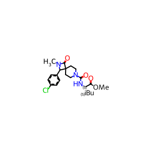 CC[C@H](C)[C@H](NC(=O)N1CCC2(CC1)C(=O)N(C)C2c1ccc(Cl)cc1)C(=O)OC